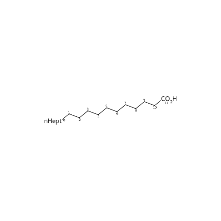 CCCCCCCCCCCCCCCCC[14C](=O)O